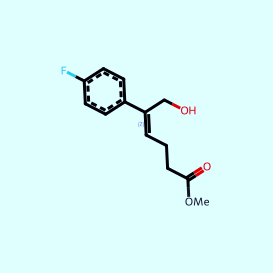 COC(=O)CC/C=C(\CO)c1ccc(F)cc1